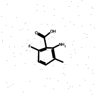 Cc1ccc(F)c(C(=O)O)c1N